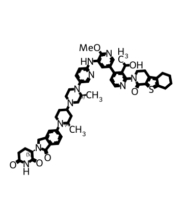 COc1ncc(-c2ccnc(N3CCc4c(sc5c4CCCC5)C3=O)c2C(C)O)cc1Nc1ccc(N2CCN(C3CCN(c4ccc5c(c4)CN([C@H]4CCC(=O)NC4=O)C5=O)[C@H](C)C3)C[C@@H]2C)cn1